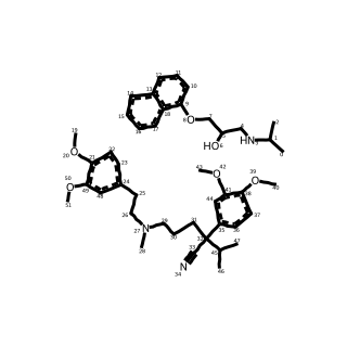 CC(C)NCC(O)COc1cccc2ccccc12.COc1ccc(CCN(C)CCCC(C#N)(c2ccc(OC)c(OC)c2)C(C)C)cc1OC